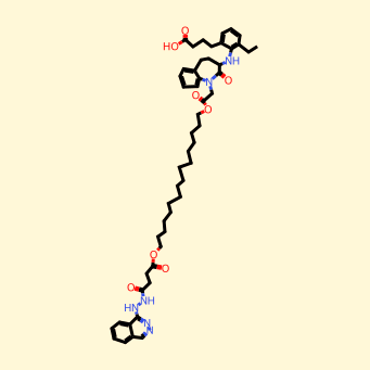 CCc1cccc(CCCC(=O)O)c1NC1CCc2ccccc2N(CC(=O)OCCCCCCCCCCCCCCCCOC(=O)CCC(=O)NNc2nncc3ccccc23)C1=O